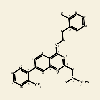 CCCCCCN(C)Cc1nc(NCCc2ccccc2C)c2ccc(-c3ncccc3C(F)(F)F)cc2n1